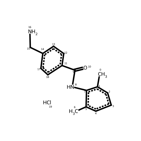 Cc1cccc(C)c1NC(=O)c1ccc(CN)cc1.Cl